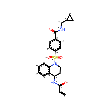 C=CC(=O)NC1CCN(S(=O)(=O)c2ccc(C(=O)NCC3CC3)cc2)c2ccccc21